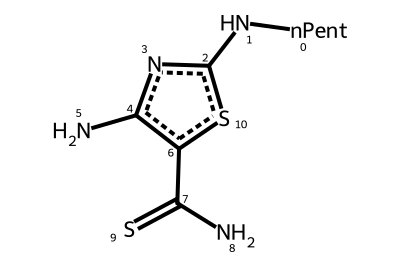 CCCCCNc1nc(N)c(C(N)=S)s1